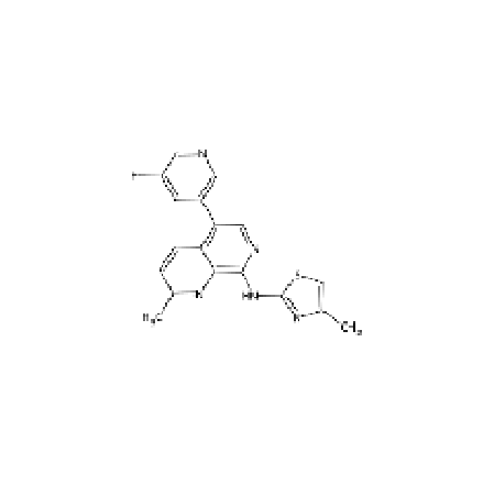 Cc1csc(Nc2ncc(-c3cncc(F)c3)c3ccc(C)nc23)n1